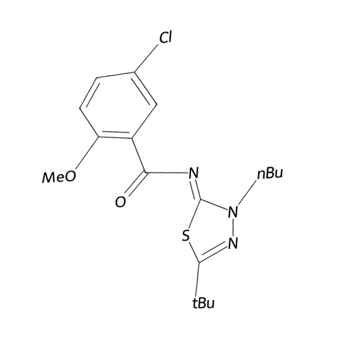 CCCCn1nc(C(C)(C)C)s/c1=N\C(=O)c1cc(Cl)ccc1OC